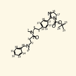 CN(CCC(=O)N(C)CCc1ccc(C2=NCCN2C(=O)OC(C)(C)C)cc1)Cc1ccccc1